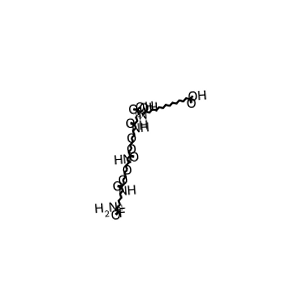 N[C@@H](CCCCNC(=O)COCCOCCNC(=O)COCCOCCNC(=O)CC[C@H](NC(O)CCCCCCCCCCCCC(=O)O)C(=O)O)C(=O)F